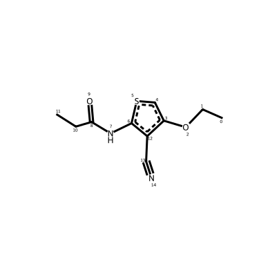 CCOc1csc(NC(=O)CC)c1C#N